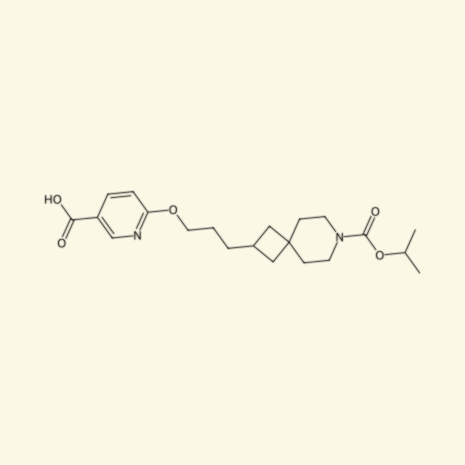 CC(C)OC(=O)N1CCC2(CC1)CC(CCCOc1ccc(C(=O)O)cn1)C2